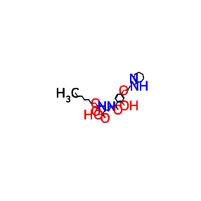 CCCCCCOC(=O)N[C@@H](CNC(=O)c1ccc(OCCNC2=NCCCCC2)cc1O)C(=O)O